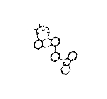 Cc1[nH]cc2cccc(c1C)-c1cccc3c1B2c1cccc(-c2cccc(-n4c5c(c6ccccc64)CCC=C5)c2)c1O3